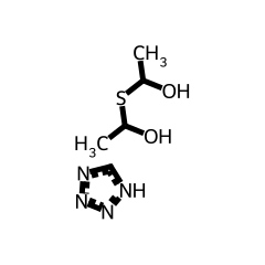 CC(O)SC(C)O.c1nnn[nH]1